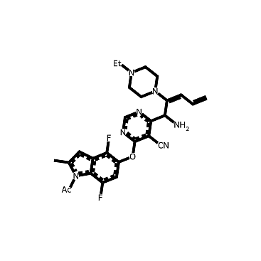 C=C/C=C(\C(N)c1ncnc(Oc2cc(F)c3c(cc(C)n3C(C)=O)c2F)c1C#N)N1CCN(CC)CC1